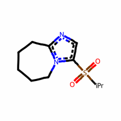 CC(C)S(=O)(=O)c1cnc2n1CCCCC2